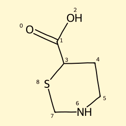 O=C(O)C1CCNCS1